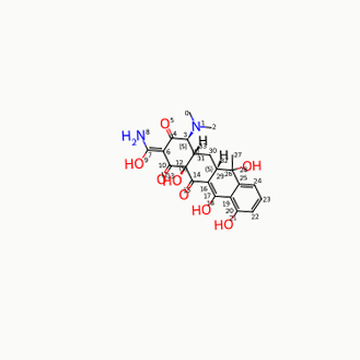 CN(C)[C@@H]1C(=O)C(=C(N)O)C(=O)[C@@]2(O)C(=O)C3=C(O)c4c(O)cccc4C(C)(O)[C@H]3C[C@@H]12